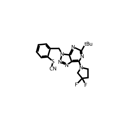 CC(C)(C)c1nc(N2CCC(F)(F)C2)c2nnn(Cc3ccccc3SC#N)c2n1